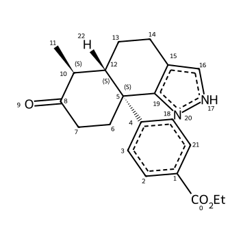 CCOC(=O)c1ccc([C@]23CCC(=O)[C@@H](C)[C@@H]2CCc2c[nH]nc23)cc1